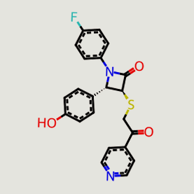 O=C(CS[C@@H]1C(=O)N(c2ccc(F)cc2)[C@H]1c1ccc(O)cc1)c1ccncc1